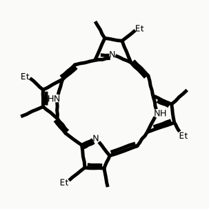 CCC1=C(C)c2cc3[nH]c(cc4nc(cc5[nH]c(cc1n2)c(C)c5CC)C(C)C4CC)c(C)c3CC